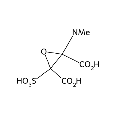 CNC1(C(=O)O)OC1(C(=O)O)S(=O)(=O)O